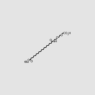 CC(C)(C)OC(=O)CCCCCCCCCCCCCCCCC(=O)NCCOCCOCC(=O)O